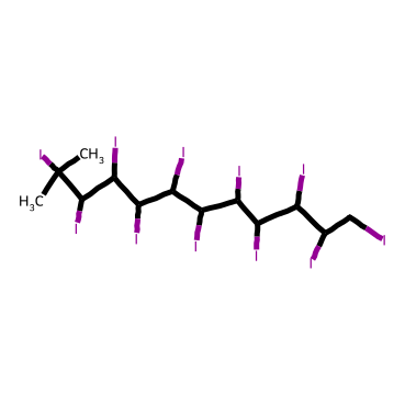 CC(C)(I)C(I)C(I)C(I)C(I)C(I)C(I)C(I)C(I)C(I)CI